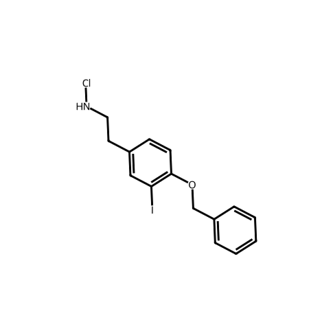 ClNCCc1ccc(OCc2ccccc2)c(I)c1